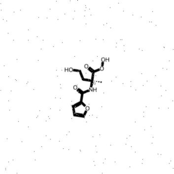 C[C@@](CCO)(NC(=O)c1ccco1)C(=O)OO